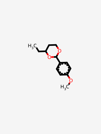 CCC1CCOC(c2ccc(OC)cc2)O1